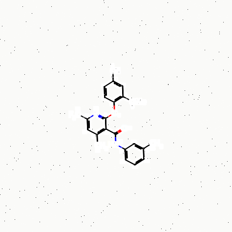 COc1cc(C#N)ccc1Oc1nc(C(F)(F)F)cc(C)c1C(=O)Nc1cccc(C)c1